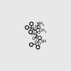 Cc1sc(N)nc1C(=NOC(c1ccccc1)(c1ccccc1)c1ccccc1)C(=O)N[C@H]1C(=O)N2C(C(=O)OC(c3ccccc3)c3ccccc3)=C(S)CCC12